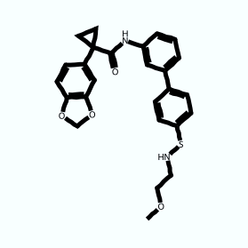 COCCNSc1ccc(-c2cccc(NC(=O)C3(c4ccc5c(c4)OCO5)CC3)c2)cc1